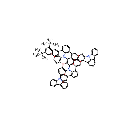 CC(C)(C)c1cc(-c2ccc3c(c2)N(c2c(-c4ccccc4)cccc2-c2ccccc2)c2cc(-c4ccc5c(c4)c4cccc6c7ccccc7n5c64)cc4c2B3c2ccc(-n3c5ccccc5c5ccccc53)cc2N4c2c(-c3ccccc3)cccc2-c2ccccc2)cc(C(C)(C)C)c1